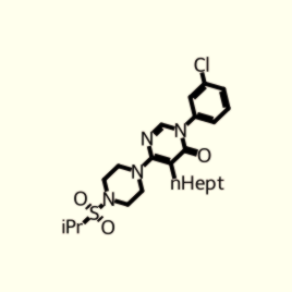 CCCCCCCc1c(N2CCN(S(=O)(=O)C(C)C)CC2)ncn(-c2cccc(Cl)c2)c1=O